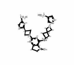 O=C(O)c1cnsc1.O=C(O)c1csc(C2CN(c3nc4c(c(NC5CC6(COC6)C5)n3)[S+]([O-])CC4)C2)n1